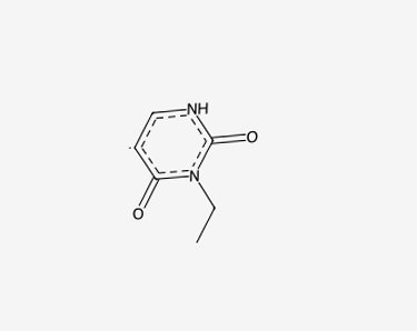 CCn1c(=O)[c]c[nH]c1=O